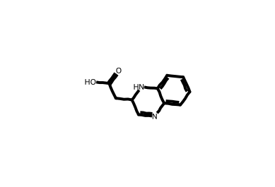 O=C(O)CC1C=Nc2ccccc2N1